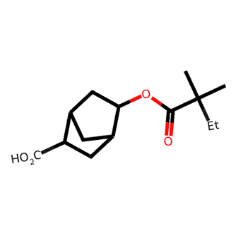 CCC(C)(C)C(=O)OC1CC2CC1CC2C(=O)O